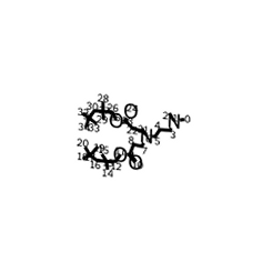 CN(C)CCCN(CCC(=O)OCC(C)(C)CC(C)(C)C)CCC(=O)OCC(C)(C)CC(C)(C)C